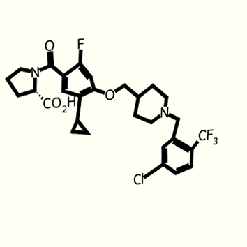 O=C(O)[C@@H]1CCCN1C(=O)c1cc(C2CC2)c(OCC2CCN(Cc3cc(Cl)ccc3C(F)(F)F)CC2)cc1F